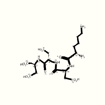 NCCCC[C@H](N)C(=O)N[C@@H](CC(=O)O)C(=O)N[C@@H](CC(=O)O)C(=O)N[C@@H](CC(=O)O)C(=O)O